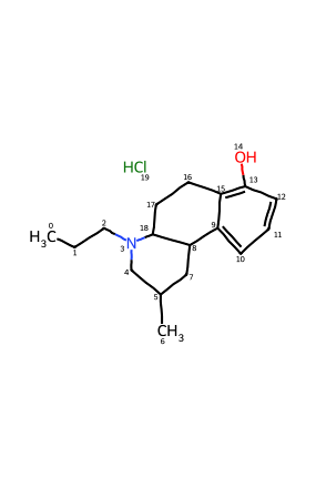 CCCN1CC(C)CC2c3cccc(O)c3CCC21.Cl